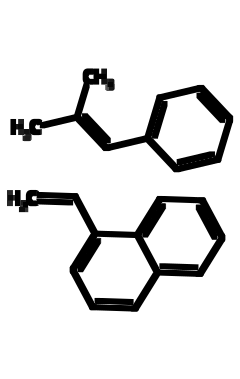 C=Cc1cccc2ccccc12.CC(C)=Cc1ccccc1